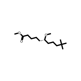 COC(=O)CCCC[C@@H](CCCC(C)(C)C)OC